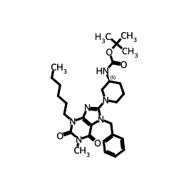 CCCCCCn1c(=O)n(C)c(=O)c2c1nc(N1CCC[C@H](NC(=O)OC(C)(C)C)C1)n2Cc1ccccc1